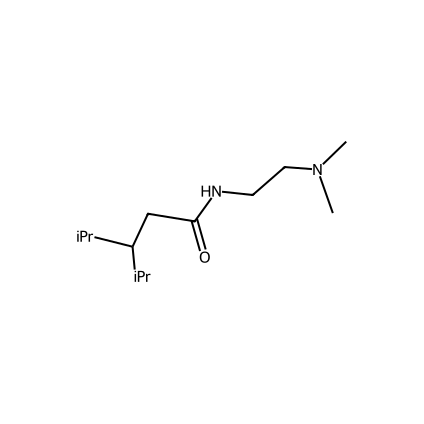 CC(C)C(CC(=O)NCCN(C)C)C(C)C